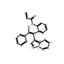 C=CC(=O)Oc1ccccc1/C(=C(\CC)c1ccccc1)c1cnn2ccccc12